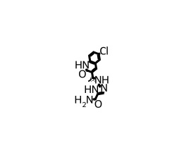 C[C@H](Nc1ncc(C(N)=O)[nH]1)c1cc2cc(Cl)ccc2[nH]c1=O